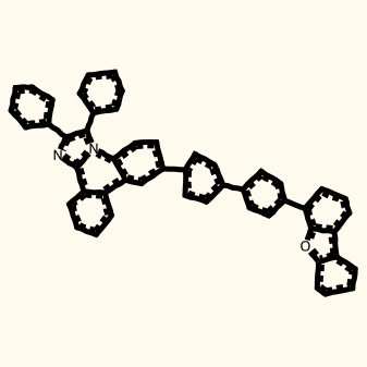 c1ccc(-c2nc3c4ccccc4c4cc(-c5ccc(-c6ccc(-c7cccc8c7oc7ccccc78)cc6)cc5)ccc4n3c2-c2ccccc2)cc1